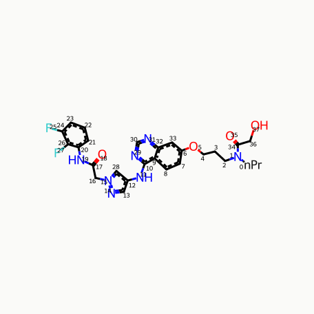 CCCN(CCCOc1ccc2c(Nc3cnn(CC(=O)Nc4cccc(F)c4F)c3)ncnc2c1)C(=O)CO